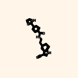 N#Cc1c[nH]c2ccc(CCNC(=O)c3ccc(-c4ncc[nH]4)cc3)cc12